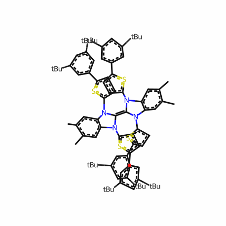 Cc1cc2c(cc1C)N(c1ccc(-c3cc(C(C)(C)C)cc(C(C)(C)C)c3)s1)C(=C1N(c3ccc(-c4cc(C(C)(C)C)cc(C(C)(C)C)c4)s3)c3cc(C)c(C)cc3N1c1ccc(-c3cc(C(C)(C)C)cc(C(C)(C)C)c3)s1)N2c1ccc(-c2cc(C(C)(C)C)cc(C(C)(C)C)c2)s1